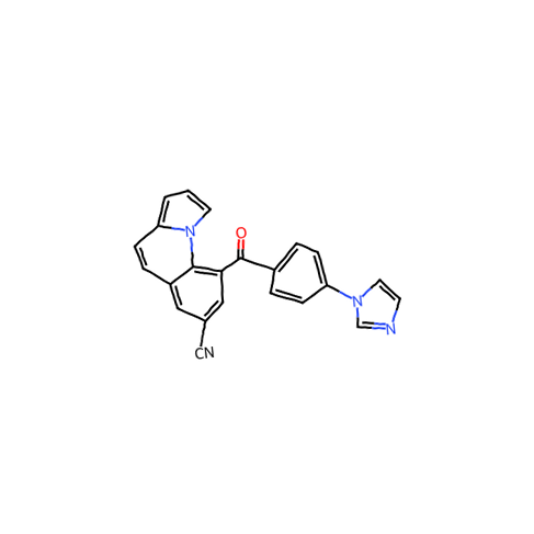 N#Cc1cc(C(=O)c2ccc(-n3ccnc3)cc2)c2c(ccc3cccn32)c1